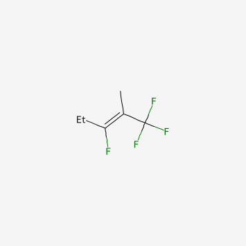 CC/C(F)=C(\C)C(F)(F)F